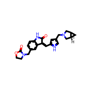 O=C1Nc2ccc(CN3CCOC3=O)cc2C1=Cc1cc(CN2CC3C[C@@H]3C2)c[nH]1